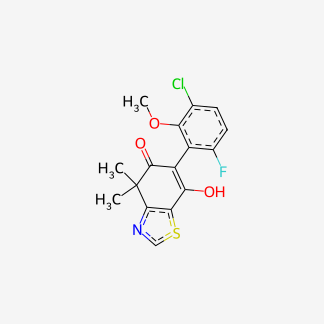 COc1c(Cl)ccc(F)c1C1=C(O)c2scnc2C(C)(C)C1=O